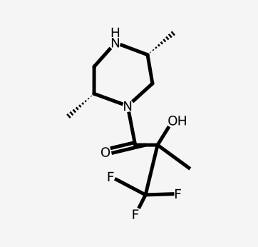 C[C@@H]1CN(C(=O)C(C)(O)C(F)(F)F)[C@H](C)CN1